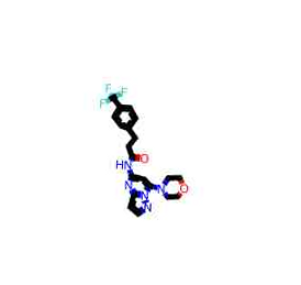 O=C(CCc1ccc(C(F)(F)F)cc1)Nc1cc(N2CCOCC2)n2nccc2n1